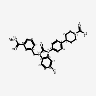 CCC(=O)N1CCC(c2ccc(-n3c(=O)n(Cc4cccc(C(=O)OC)c4)c4ccc(Cl)cc43)cc2)CC1